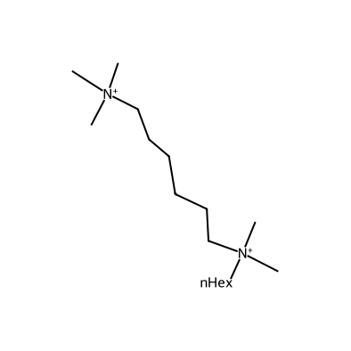 CCCCCC[N+](C)(C)CCCCCC[N+](C)(C)C